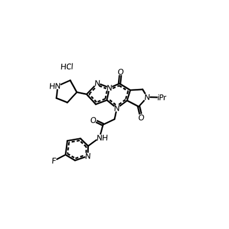 CC(C)N1Cc2c(n(CC(=O)Nc3ccc(F)cn3)c3cc(C4CCNC4)nn3c2=O)C1=O.Cl